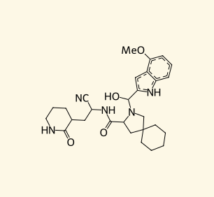 COc1cccc2[nH]c(C(O)N3CC4(CCCCC4)CC3C(=O)NC(C#N)CC3CCCNC3=O)cc12